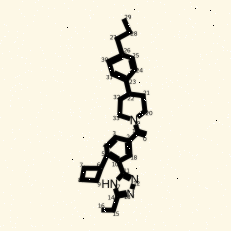 C=C(c1ccc(C2CCC2)c(-c2nnc(CC)[nH]2)c1)N1CCC(c2ccc(CCC)cc2)CC1